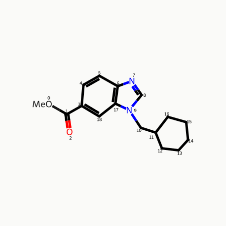 COC(=O)c1ccc2ncn(CC3CCCCC3)c2c1